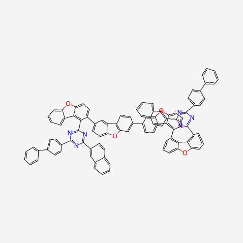 c1ccc(-c2ccc(-c3nc(-c4ccc5ccccc5c4)nc(-c4c(-c5ccc6oc7cc(-c8ccc9c(c8)oc8cccc(-c%10cccc%11oc%12cccc(-c%13nc(-c%14ccc(-c%15ccccc%15)cc%14)nc(-c%14ccc%15ccccc%15c%14)n%13)c%12c%10%11)c89)ccc7c6c5)ccc5oc6ccccc6c45)n3)cc2)cc1